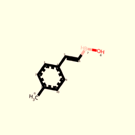 Cc1ccc(/C=C/BO)cc1